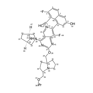 C#Cc1c(F)ccc2cc(O)cc(-c3ncc4c(N5C[C@H]6CC[C@@H](C5)N6)nc(OCC56CCCN5C(COC(C)C)CC6)nc4c3F)c12